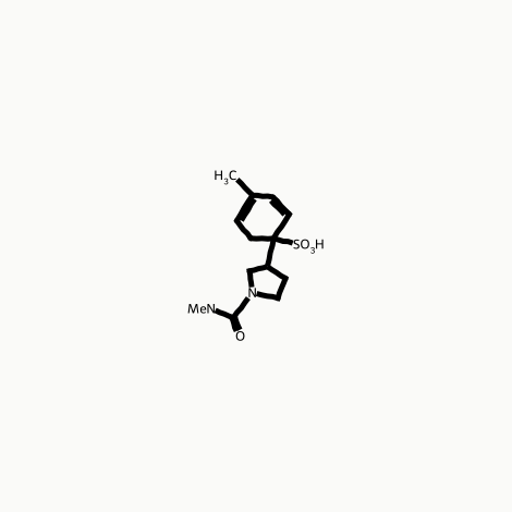 CNC(=O)N1CCC(C2(S(=O)(=O)O)C=CC(C)=CC2)C1